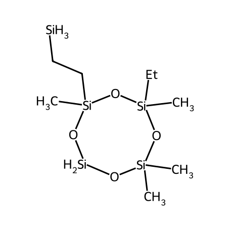 CC[Si]1(C)O[Si](C)(C)O[SiH2]O[Si](C)(CC[SiH3])O1